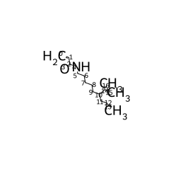 C=CC(=O)NCCCCCC(CCC)C(C)C